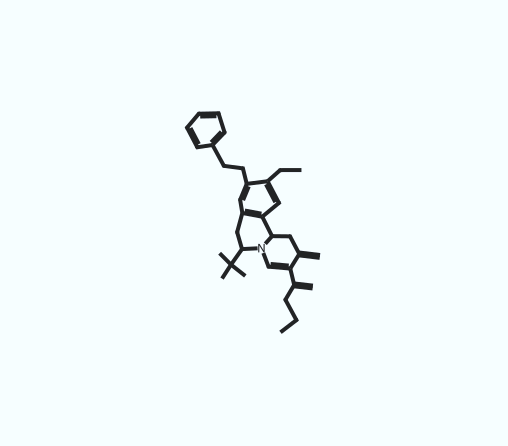 C=C(CCC)C1=CN2C(CC1=C)c1cc(CC)c(CCc3ccccc3)cc1CC2C(C)(C)C